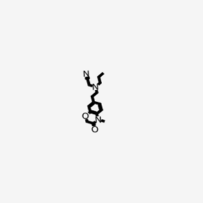 CCCN(CC#N)CCc1ccc2c(c1)OCC(=O)N2C